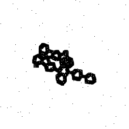 c1ccc(-c2ccc(-c3c4ccccc4c(-c4ccc5c(c4)C4(c6ccccc6-c6cc7oc8ccccc8c7cc64)c4cccnc4-5)c4ccccc34)cc2)cc1